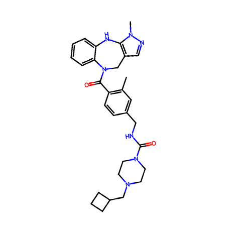 Cc1cc(CNC(=O)N2CCN(CC3CCC3)CC2)ccc1C(=O)N1Cc2cnn(C)c2Nc2ccccc21